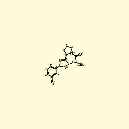 CC(C)(C)OC(=O)N1CCCC1c1nnn(-c2cccc(Br)c2)n1